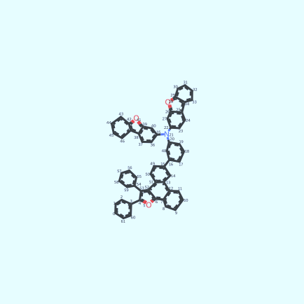 c1ccc(-c2oc3c4ccccc4c4cc(-c5cccc(N(c6ccc7c(c6)oc6ccccc67)c6ccc7c(c6)oc6ccccc67)c5)ccc4c3c2-c2ccccc2)cc1